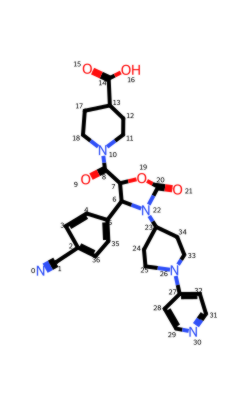 N#Cc1ccc(C2C(C(=O)N3CCC(C(=O)O)CC3)OC(=O)N2C2CCN(c3ccncc3)CC2)cc1